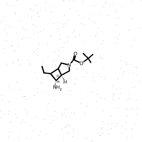 CCC1C2CN(C(=O)OC(C)(C)C)C[C@H]2[C@@H]1N